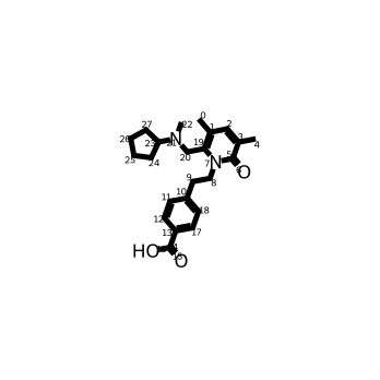 Cc1cc(C)c(=O)n(CCc2ccc(C(=O)O)cc2)c1CN(C)C1CCCC1